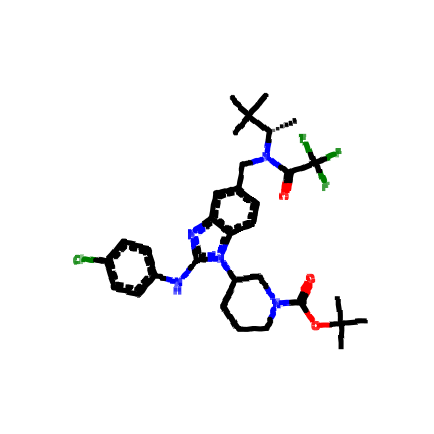 C[C@H](N(Cc1ccc2c(c1)nc(Nc1ccc(Cl)cc1)n2C1CCCN(C(=O)OC(C)(C)C)C1)C(=O)C(F)(F)F)C(C)(C)C